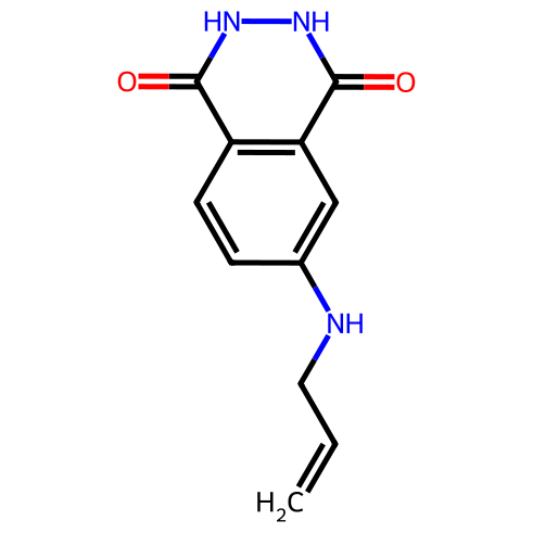 C=CCNc1ccc2c(=O)[nH][nH]c(=O)c2c1